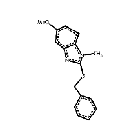 COc1ccc2c(c1)nc(SCc1ccccc1)n2C